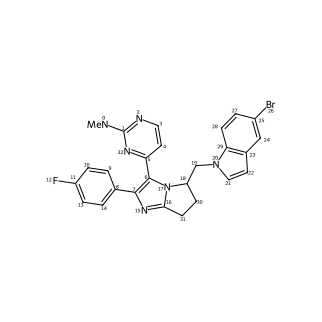 CNc1nccc(-c2c(-c3ccc(F)cc3)nc3n2C(Cn2ccc4cc(Br)ccc42)CC3)n1